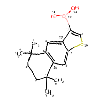 CC1(C)CCC(C)(C)c2cc3c(B(O)O)csc3cc21